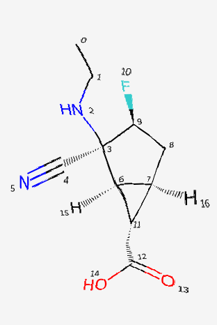 CCN[C@]1(C#N)[C@H]2[C@@H](C[C@@H]1F)[C@@H]2C(=O)O